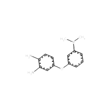 CN(C)c1cccc(Oc2ccc(N)c(N)c2)c1